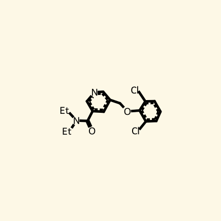 CCN(CC)C(=O)c1cncc(COc2c(Cl)cccc2Cl)c1